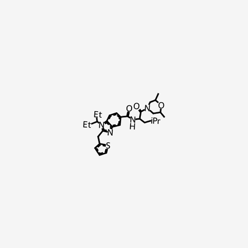 CCC(CC)n1c(Cc2cccs2)nc2cc(C(=O)NC(CC(C)C)C(=O)N3CC(C)OC(C)C3)ccc21